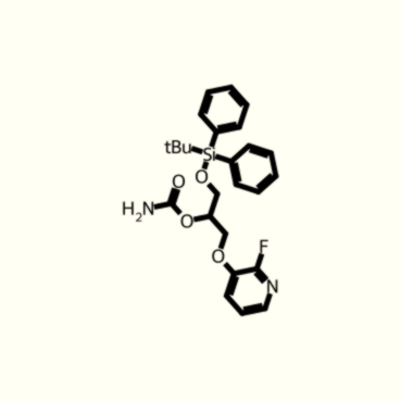 CC(C)(C)[Si](OCC(COc1cccnc1F)OC(N)=O)(c1ccccc1)c1ccccc1